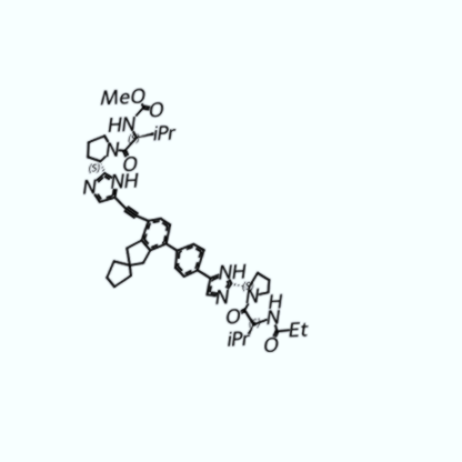 CCC(=O)N[C@H](C(=O)N1CCC[C@H]1c1ncc(-c2ccc(-c3ccc(C#Cc4cnc([C@@H]5CCCN5C(=O)[C@@H](NC(=O)OC)C(C)C)[nH]4)c4c3CC3(CCCC3)C4)cc2)[nH]1)C(C)C